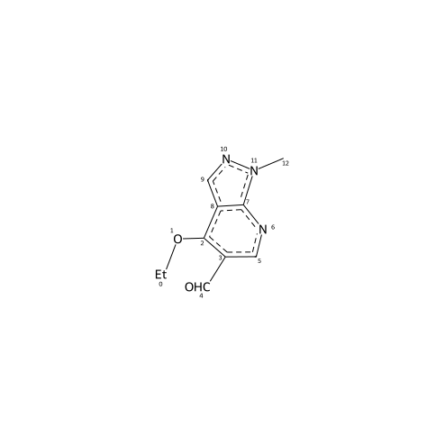 CCOc1c(C=O)cnc2c1cnn2C